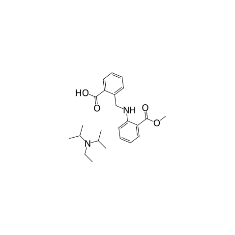 CCN(C(C)C)C(C)C.COC(=O)c1ccccc1NCc1ccccc1C(=O)O